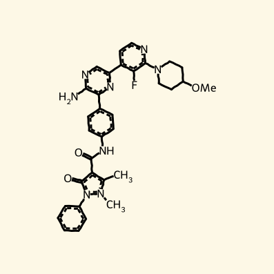 COC1CCN(c2nccc(-c3cnc(N)c(-c4ccc(NC(=O)c5c(C)n(C)n(-c6ccccc6)c5=O)cc4)n3)c2F)CC1